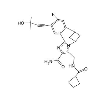 CC(C)(O)C#Cc1cc2c(cc1F)C1CC(C1)n1c-2nc(C(N)=O)c1CNC(=O)C1CCC1